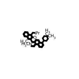 Cc1c2c(c(CC(C)C)c3ccccc13)Oc1cc3c(C4CCC(C)(C)CC4)cccc3c3cc[n+](C)c-2c13